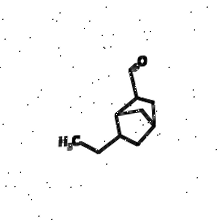 CCC1CC2CC(C=O)C1C2